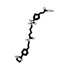 COC(=O)CCc1ccc(S(=O)(=O)NCCCCC(=O)NCCCc2ccc(C3=NCCN3)cc2)cc1